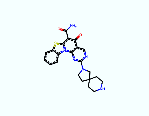 NC(=O)c1c(=O)c2cnc(N3CCC4(CCNCC4)C3)nc2n2c1sc1ccccc12